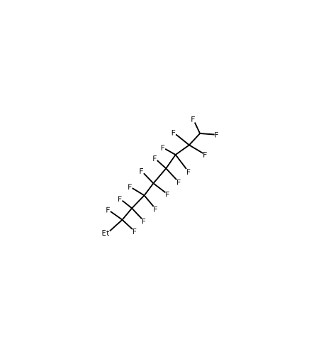 [CH2]CC(F)(F)C(F)(F)C(F)(F)C(F)(F)C(F)(F)C(F)(F)C(F)(F)C(F)F